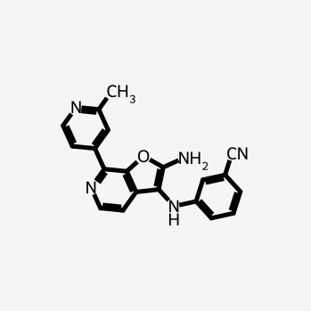 Cc1cc(-c2nccc3c(Nc4cccc(C#N)c4)c(N)oc23)ccn1